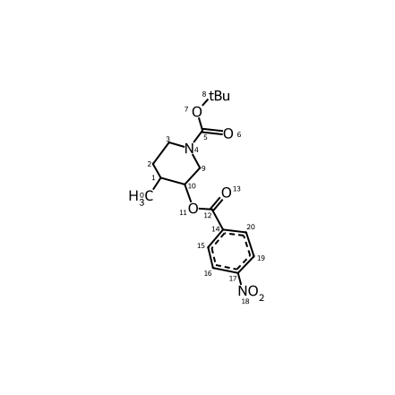 CC1CCN(C(=O)OC(C)(C)C)CC1OC(=O)c1ccc([N+](=O)[O-])cc1